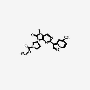 Cn1c(=O)n(C2CCN(C(=O)OC(C)(C)C)C2)c2nc(-c3cnn4ccc(C#N)cc34)ncc21